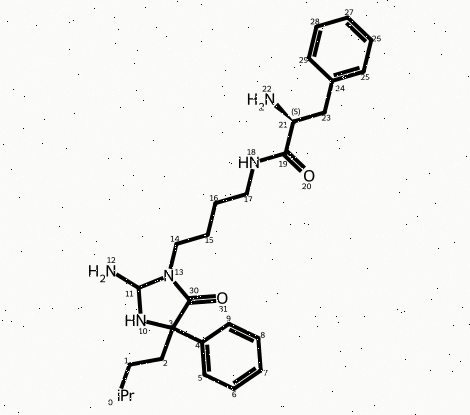 CC(C)CCC1(c2ccccc2)NC(N)N(CCCCNC(=O)[C@@H](N)Cc2ccccc2)C1=O